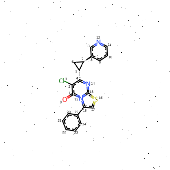 O=c1c(Cl)c([C@@H]2C[C@H]2c2cccnc2)nc2scc(-c3ccccc3)n12